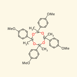 COc1ccc([Si]2(C)O[Si](C)(c3ccc(OC)cc3)O[Si](C)(c3ccc(OC)cc3)O[Si](C)(c3ccc(OC)cc3)O2)cc1